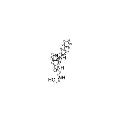 O=C(O)NCCC(=O)Nc1ccc2ncnc(Nc3ccc(-c4ccccc4)cc3)c2c1